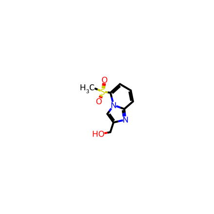 CS(=O)(=O)c1cccc2nc(CO)cn12